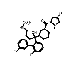 CCc1cccc(-c2c(F)cccc2C(O)(CCCNC(=O)O)C2CCCN(C(=O)[C@@H]3C[C@@H](O)CN3)C2)c1